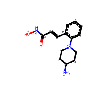 NC1CCN(c2ccccc2/C=C/C(=O)NO)CC1